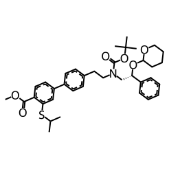 COC(=O)c1ccc(-c2ccc(CCN(C[C@H](OC3CCCCO3)c3ccccc3)C(=O)OC(C)(C)C)cc2)cc1SC(C)C